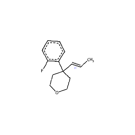 C/C=C/C1(c2ccccc2F)CCOCC1